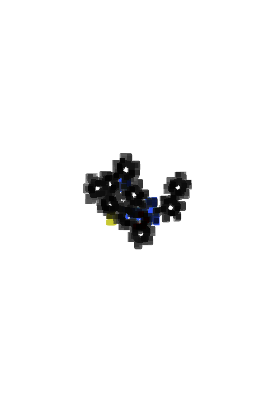 c1ccc(C2=NC(c3cccc(-c4ccccc4)c3)=NC(c3ccc(-n4c5ccccc5c5cc6ccccc6cc54)cc3-c3c4ccccc4cc4sc5ccccc5c34)N2)cc1